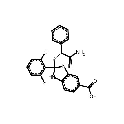 NC(=O)[C@H](CC1(c2c(Cl)cccc2Cl)Nc2ccc(C(=O)O)cc2N1)c1ccccc1